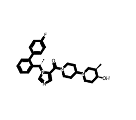 C[C@@H]1CN(C2CCN(C(=O)c3cncn3[C@@H](C)c3ccccc3-c3ccc(F)cc3)CC2)CC[C@@H]1O